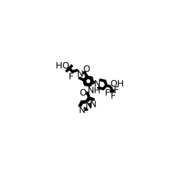 CC(C)(O)C(F)CN1Cc2cc(NC(=O)c3cnn4cnccc34)c(N3CCC(C(O)C(F)(F)F)CC3)cc2C1=O